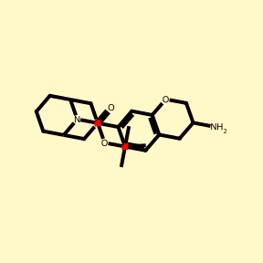 CC(C)(C)OC(=O)N1C2CCCC1CN(c1ccc3c(c1)OCC(N)C3)C2